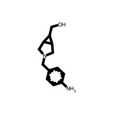 Nc1ccc(CN2CC3C(CO)C3C2)cc1